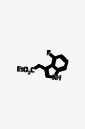 CCOC(=O)Cc1c[nH]c2cccc(F)c12